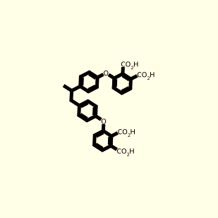 CC(Cc1ccc(Oc2cccc(C(=O)O)c2C(=O)O)cc1)c1ccc(Oc2cccc(C(=O)O)c2C(=O)O)cc1